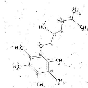 Cc1c(C)c(C)c(OCC(O)CNC(C)C)c(C)c1C